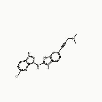 CN(C)CC#Cc1ccc2[nH]c(Nc3c[nH]c4ccc(Cl)nc34)nc2c1